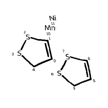 C1=CSSC1.C1=CSSC1.[Mn].[Ni]